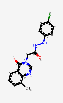 Cc1cccc2c(=O)n(CC(=O)NNc3ccc(Br)cc3)cnc12